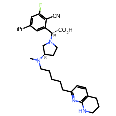 CC(C)c1cc(F)c(C#N)c([C@H](C(=O)O)N2CC[C@@H](N(C)CCCCCc3ccc4c(n3)NCCC4)C2)c1